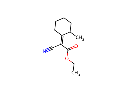 CCOC(=O)C(C#N)=C1CCCCC1C